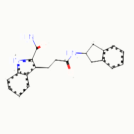 NC(=O)c1[nH]c2ccccc2c1C[CH]C(=O)NC1Cc2ccccc2C1